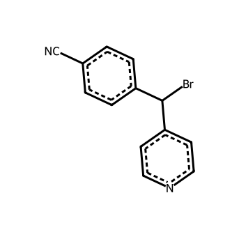 N#Cc1ccc(C(Br)c2ccncc2)cc1